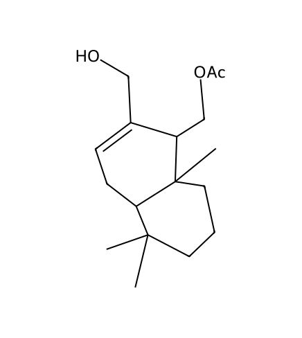 CC(=O)OCC1C(CO)=CCC2C(C)(C)CCCC12C